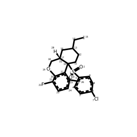 O=S(=O)(c1ccc(Cl)cc1)C12CCC(CI)C[C@H]1COc1c(F)ccc(F)c12